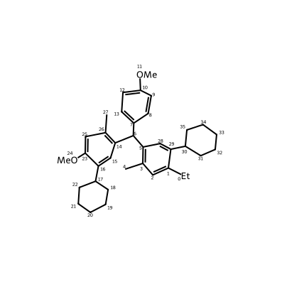 CCc1cc(C)c(C(c2ccc(OC)cc2)c2cc(C3CCCCC3)c(OC)cc2C)cc1C1CCCCC1